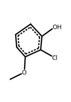 COc1cc[c]c(O)c1Cl